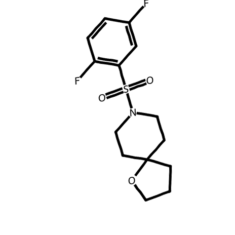 O=S(=O)(c1cc(F)ccc1F)N1CCC2(CCCO2)CC1